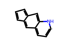 [c]1ccc2cc3cccc3cc2[nH]1